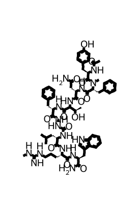 CNC(=N)NCCC[C@H](NC(=O)[C@H](CC(C)C)NC(=O)NNC(=O)[C@H](Cc1ccccc1)NC(=O)C(NC(=O)[C@H](CC(N)=O)NC(=O)[C@@H](Cc1ccccc1)N(C)C(=O)[C@@H](Cc1ccc(O)cc1)NC(C)=O)[C@@H](C)O)C(=O)N[C@@H](Cc1c[nH]c2ccccc12)C(N)=O